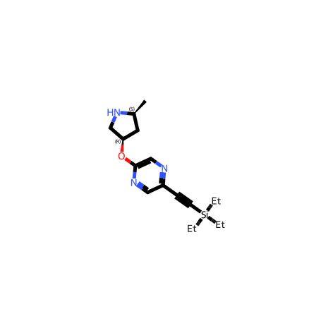 CC[Si](C#Cc1cnc(O[C@H]2CN[C@@H](C)C2)cn1)(CC)CC